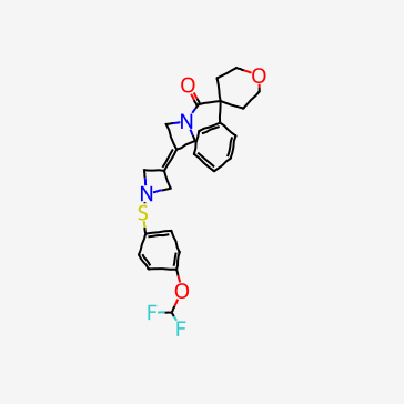 O=C(N1CC(=C2CN(Sc3ccc(OC(F)F)cc3)C2)C1)C1(c2ccccc2)CCOCC1